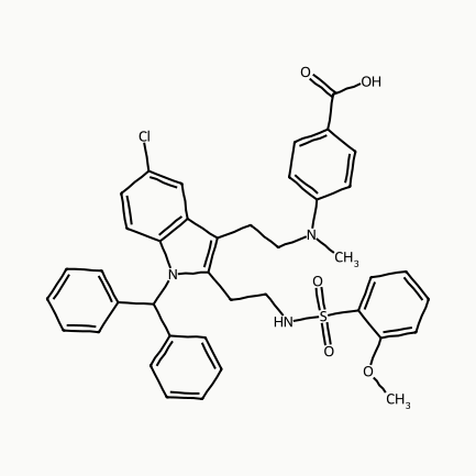 COc1ccccc1S(=O)(=O)NCCc1c(CCN(C)c2ccc(C(=O)O)cc2)c2cc(Cl)ccc2n1C(c1ccccc1)c1ccccc1